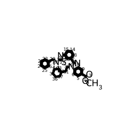 COC(=O)c1ccc2c(c1)nc(-c1cccc3nc(NCc4ccccc4)sc13)n2CCC1=CCCCC1